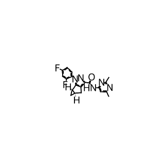 Cc1cc(NC(=O)c2nn(-c3ccc(F)cc3F)c3c2C[C@H]2C[C@@H]32)nc(C)n1